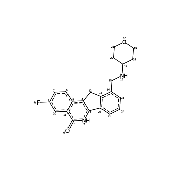 O=c1[nH]c2c(c3ccc(F)cc13)Cc1c(CNC3CCOCC3)cccc1-2